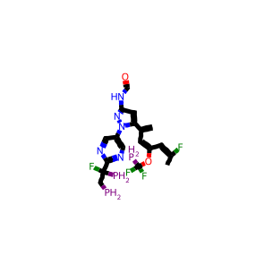 C=C(/C=C(\C=C(/C)F)OC(F)(F)P)c1cc(NC=O)nn1-c1cnc(C(F)(P)CP)nc1